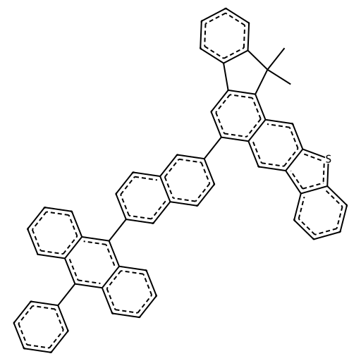 CC1(C)c2ccccc2-c2cc(-c3ccc4cc(-c5c6ccccc6c(-c6ccccc6)c6ccccc56)ccc4c3)c3cc4c(cc3c21)sc1ccccc14